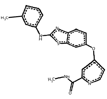 CNC(=O)c1cc(Oc2ccc3nc(Nc4cccc(C)c4)sc3c2)ccn1